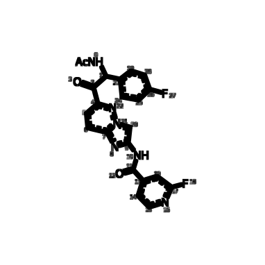 CC(=O)NC(C(=O)c1ccc2nc(NC(=O)c3ccnc(F)c3)cn2n1)c1ccc(F)cc1